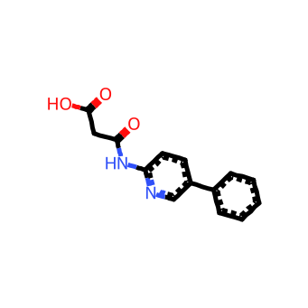 O=C(O)CC(=O)Nc1ccc(-c2ccccc2)cn1